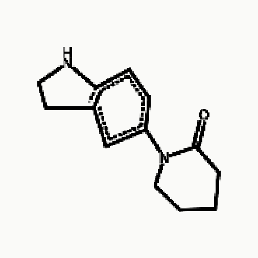 O=C1CCCCN1c1ccc2c(c1)CCN2